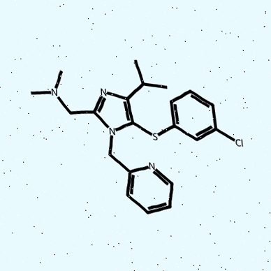 CC(C)c1nc(CN(C)C)n(Cc2ccccn2)c1Sc1cccc(Cl)c1